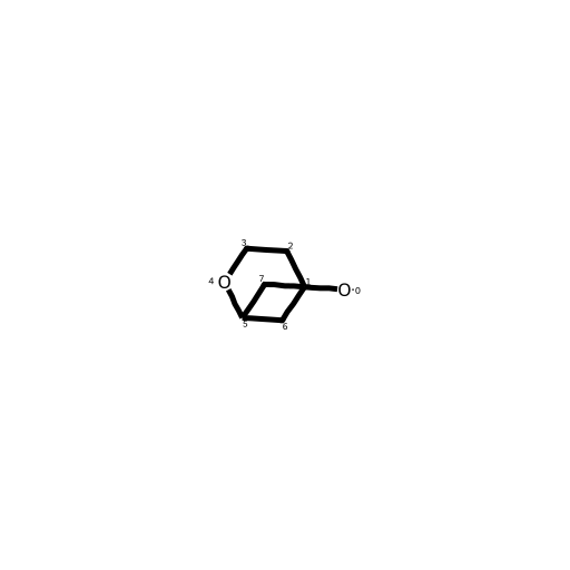 [O]C12CCOC(C1)C2